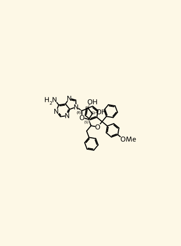 COc1ccc(C(OC(Cc2ccccc2)[C@H]2O[C@@H](n3cnc4c(N)ncnc43)[C@H](O)[C@@H]2O)(c2ccccc2)c2ccccc2)cc1